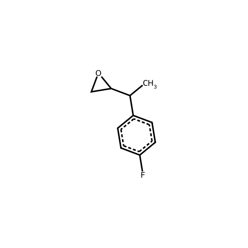 CC(c1ccc(F)cc1)C1CO1